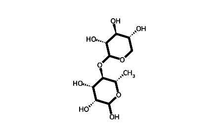 C[C@@H]1OC(O)[C@H](O)[C@H](O)[C@H]1OC1OC[C@@H](O)[C@H](O)[C@H]1O